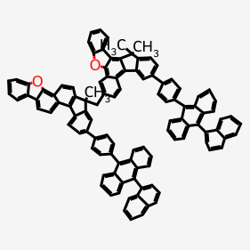 CC1(C)c2ccc(-c3ccc(-c4c5ccccc5c(-c5cccc6ccccc56)c5ccccc45)cc3)cc2-c2c1c1c3ccccc3oc1c1cc(CC3(C)c4cc(-c5ccc(-c6c7ccccc7c(-c7cccc8ccccc78)c7ccccc67)cc5)ccc4-c4c3ccc3c4ccc4c5ccccc5oc34)ccc21